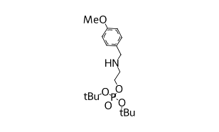 COc1ccc(CNCCOP(=O)(OC(C)(C)C)OC(C)(C)C)cc1